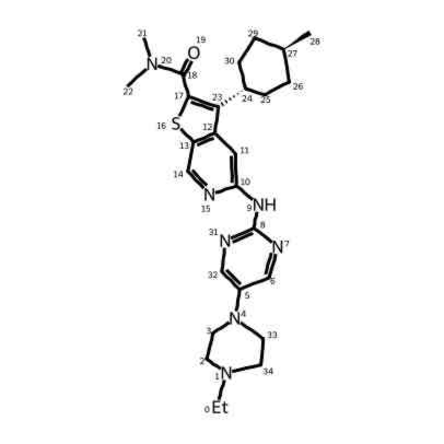 CCN1CCN(c2cnc(Nc3cc4c(cn3)sc(C(=O)N(C)C)c4[C@H]3CC[C@H](C)CC3)nc2)CC1